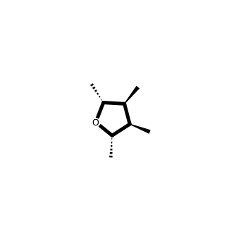 C[C@@H]1[C@H](C)[C@@H](C)O[C@H]1C